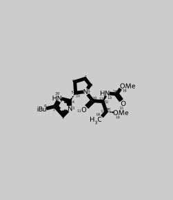 CCC(C)c1cnc([C@@H]2CCCN2C(=O)[C@@H](NC(=O)OC)[C@@H](C)OC)[nH]1